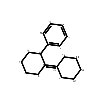 c1ccc(C2CCCCC2=C2CCCCC2)cc1